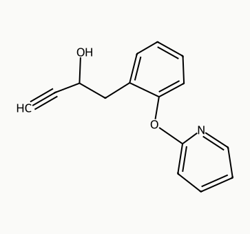 C#CC(O)Cc1ccccc1Oc1ccccn1